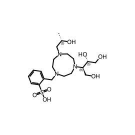 C[C@H](O)CN1CCN(Cc2ccccc2S(=O)(=O)O)CCN([C@H](CO)[C@H](O)CO)CC1